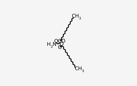 CCCCCCCCCCCCCCCC(=O)OC(CC(N)=O)OC(=O)CCCCCCCCCCCCCCC